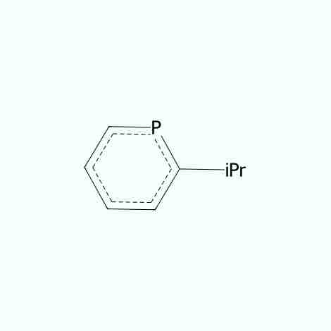 CC(C)c1ccccp1